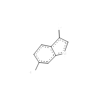 Cc1ccc2c(C(C)(C)C)c[nH]c2c1